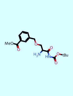 COC(=O)c1cccc(COCC(N)C(=O)NC(=O)OC(C)(C)C)c1